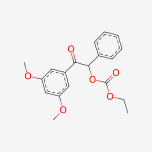 CCOC(=O)OC(C(=O)c1cc(OC)cc(OC)c1)c1ccccc1